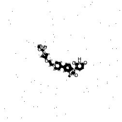 Cn1c(=O)n(C2CCC(=O)NC2=O)c2ccc(C3CCN(CCOC4CN(C(=O)OC(C)(C)C)C4)CC3)cc21